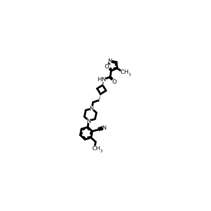 CCc1cccc(N2CCN(CC[C@H]3C[C@@H](NC(=O)c4oncc4C)C3)CC2)c1C#N